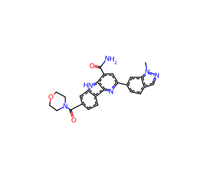 Cn1ncc2ccc(-c3cc(C(N)=O)c4[nH]c5cc(C(=O)N6CCOCC6)ccc5c4n3)cc21